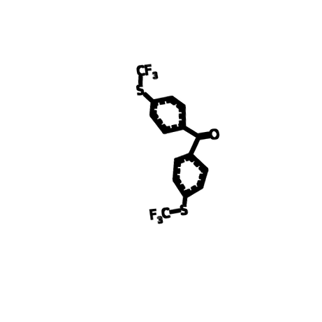 O=C(c1ccc(SC(F)(F)F)cc1)c1ccc(SC(F)(F)F)cc1